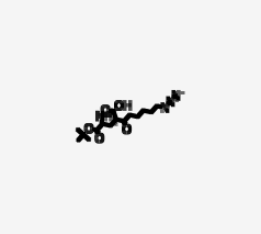 CC(C)(C)OC(=O)C(N)CC(C(=O)O)C(=O)CCCCCN=[N+]=[N-]